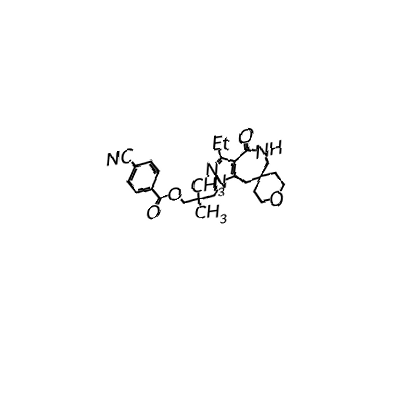 CCc1nn(CC(C)(C)COC(=O)c2ccc(C#N)cc2)c2c1C(=O)NCC1(CCOCC1)C2